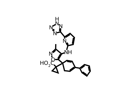 Cc1noc(C2(C3(C(=O)O)CC3)C=CC(c3ccccc3)=CC2)c1Nc1cccc(-c2nn[nH]n2)n1